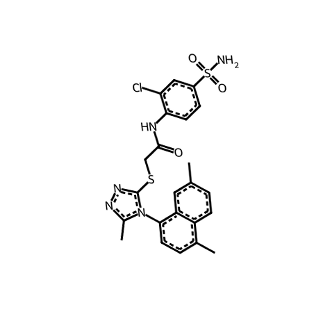 Cc1ccc2c(C)ccc(-n3c(C)nnc3SCC(=O)Nc3ccc(S(N)(=O)=O)cc3Cl)c2c1